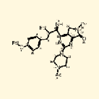 CCOc1ccc(CC(CC)C(=N)c2nc(N3CCN(C(C)=O)CC3)nc3c2CN(C(C)C)C3=O)cc1